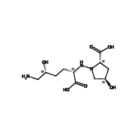 NC[C@H](O)CC[C@H](NN1C[C@H](O)C[C@H]1C(=O)O)C(=O)O